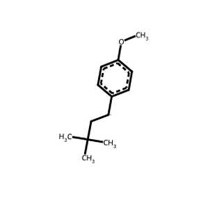 COc1ccc([CH]CC(C)(C)C)cc1